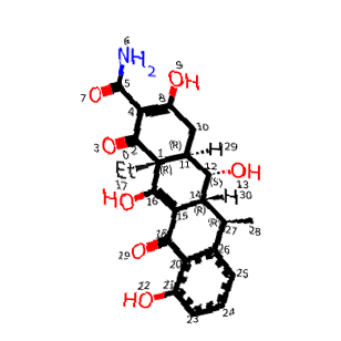 CC[C@@]12C(=O)C(C(N)=O)=C(O)C[C@H]1[C@H](O)[C@H]1C(=C2O)C(=O)c2c(O)cccc2[C@@H]1C